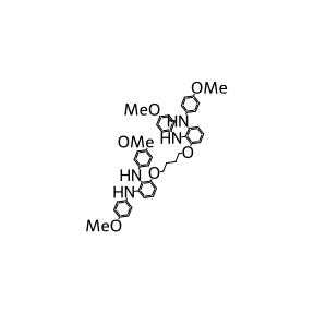 COc1ccc(Nc2cccc(OCCCCOc3cccc(Nc4ccc(OC)cc4)c3Nc3ccc(OC)cc3)c2Nc2ccc(OC)cc2)cc1